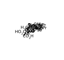 CC[C@H](C)C([C@@H](CC(=O)N1CCC[C@H]1[C@H](OC)[C@@H](C)C(=O)N[C@@H](Cc1ccccc1)C(=O)NC(CCC(=O)O)C(=O)O)OC)N(C)C(=O)[C@@H](NC(=O)[C@H](C(C)C)N(C)C(C)C)C(C)C